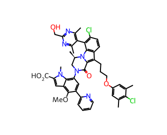 COc1c(-c2ccccn2)cc(N2C[C@@H](C)n3c(c(CCCOc4cc(C)c(Cl)c(C)c4)c4ccc(Cl)c(-c5c(C)nc(CO)nc5C)c43)C2=O)c2c1cc(C(=O)O)n2C